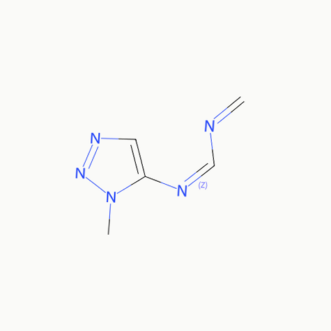 C=N/C=N\c1cnnn1C